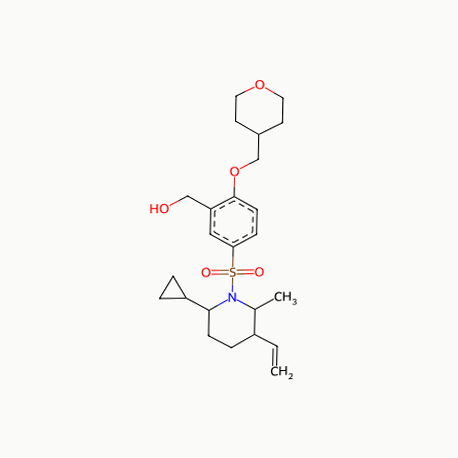 C=CC1CCC(C2CC2)N(S(=O)(=O)c2ccc(OCC3CCOCC3)c(CO)c2)C1C